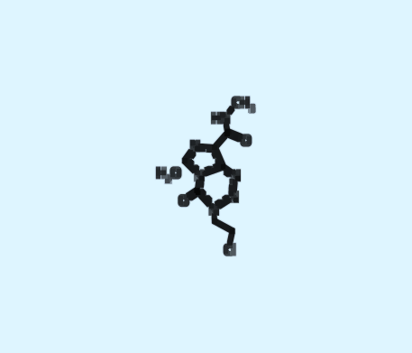 CNC(=O)c1ncn2c(=O)n(CCCl)nnc12.O